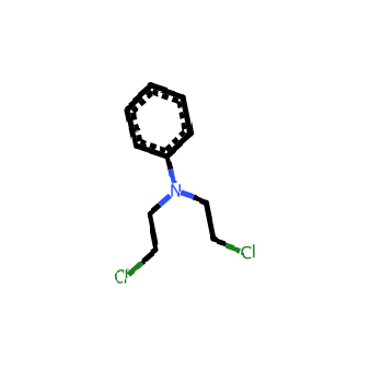 ClCCN(CCCl)c1ccccc1